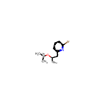 C[SiH](C)OC(Cc1cccc(Br)n1)C(C)(C)C